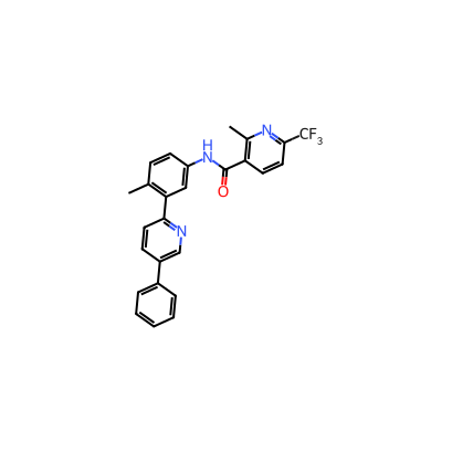 Cc1ccc(NC(=O)c2ccc(C(F)(F)F)nc2C)cc1-c1ccc(-c2ccccc2)cn1